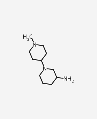 CN1CCC(N2CCCC(N)C2)CC1